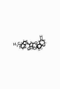 Cc1ncnc2c1ccn2C1CC(Oc2cccc3c2CNCCO3)C(O)C1O